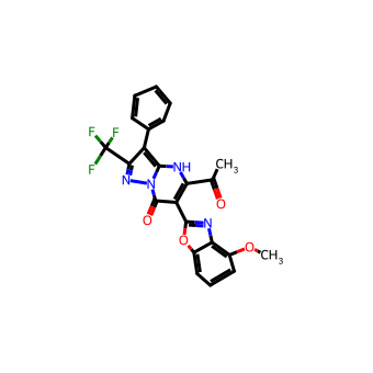 COc1cccc2oc(-c3c(C(C)=O)[nH]c4c(-c5ccccc5)c(C(F)(F)F)nn4c3=O)nc12